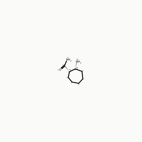 NC(=O)[C@H]1CCCCC[C@H]1N